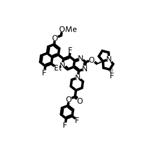 CCc1c(F)ccc2cc(OCOC)cc(-c3ncc4c(N5CCC(C(=O)Oc6ccc(F)c(F)c6)CC5)nc(OC[C@@]56CCCN5C[C@H](F)C6)nc4c3F)c12